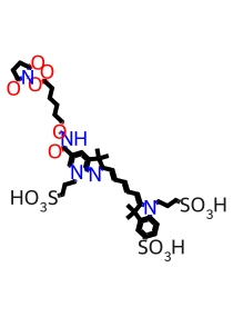 CC1(C)C(/C=C/C=C/C=C2/N(CCCS(=O)(=O)O)c3ccc(S(=O)(=O)O)cc3C2(C)C)=Nc2c1cc(C(=O)NOCCCCCC(=O)ON1C(=O)CCC1=O)c[n+]2CCCS(=O)(=O)O